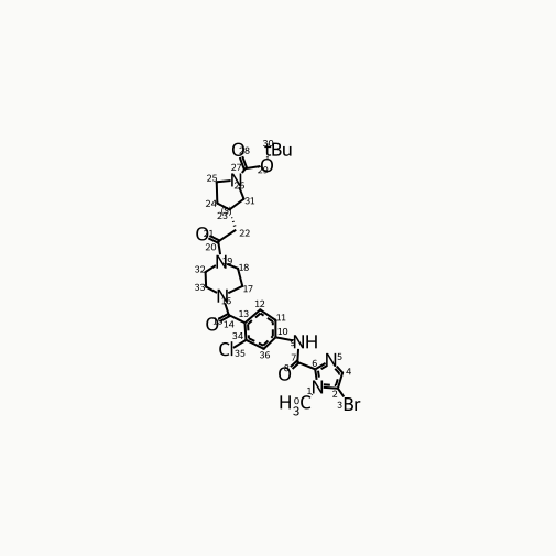 Cn1c(Br)cnc1C(=O)Nc1ccc(C(=O)N2CCN(C(=O)C[C@@H]3CCN(C(=O)OC(C)(C)C)C3)CC2)c(Cl)c1